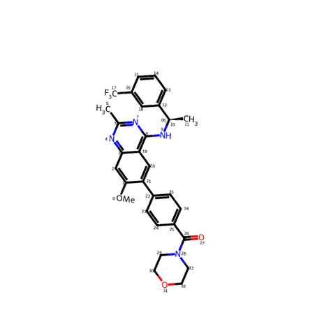 COc1cc2nc(C)nc(N[C@H](C)c3cccc(C(F)(F)F)c3)c2cc1-c1ccc(C(=O)N2CCOCC2)cc1